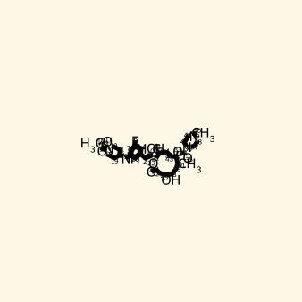 C/C(=C\c1cc(F)cc(NC2CCN(S(C)(=O)=O)CC2)c1)[C@H]1OC(=O)C[C@H](O)CC[C@H](C)[C@H](OC(=O)N2CCN(C)CC2)/C=C/[C@@H]1C